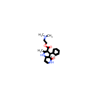 CC1=C(C(=O)OCCN(C)C)C(c2ccccc2C(F)(F)F)c2c(cc[nH]c2=O)N1